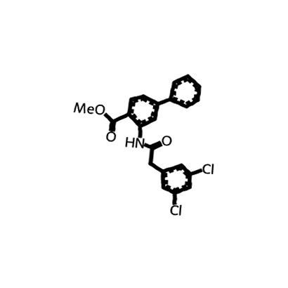 COC(=O)c1ccc(-c2ccccc2)cc1NC(=O)Cc1cc(Cl)cc(Cl)c1